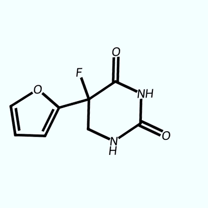 O=C1NCC(F)(c2ccco2)C(=O)N1